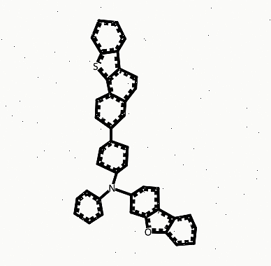 c1ccc(N(c2ccc(-c3ccc4c(ccc5c6ccccc6sc45)c3)cc2)c2ccc3c(c2)oc2ccccc23)cc1